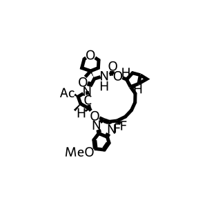 COc1ccc2nc3c(nc2c1)O[C@H]1CN(C(=O)[C@H](C2(C)CCOCC2)NC(=O)O[C@@H]2CC4CC4[C@H]2CCCCC3(F)F)[C@H](C(C)=O)[C@@H]1C